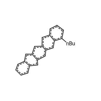 CCCCc1cccc2cc3cc4cc5ccccc5cc4cc3cc12